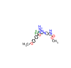 CCCOc1ccc(-c2ccc([C@@H](Oc3cc(N4CCC5(CC4)CNC(C(=O)OCC)C5)nc(N)n3)C(F)(F)F)cc2)cc1